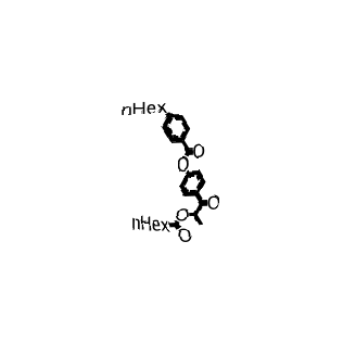 CCCCCCC(=O)OC(C)C(=O)c1ccc(OC(=O)c2ccc(CCCCCC)cc2)cc1